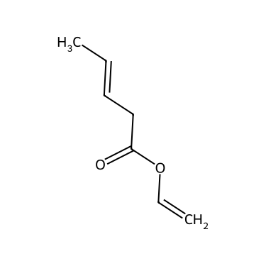 C=COC(=O)CC=CC